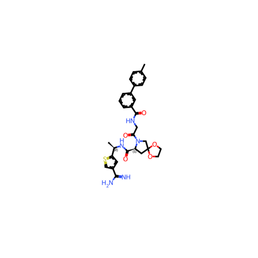 Cc1ccc(-c2cccc(C(=O)NCC(=O)N3CC4(C[C@H]3C(=O)N[C@H](C)c3cc(C(=N)N)cs3)OCCO4)c2)cc1